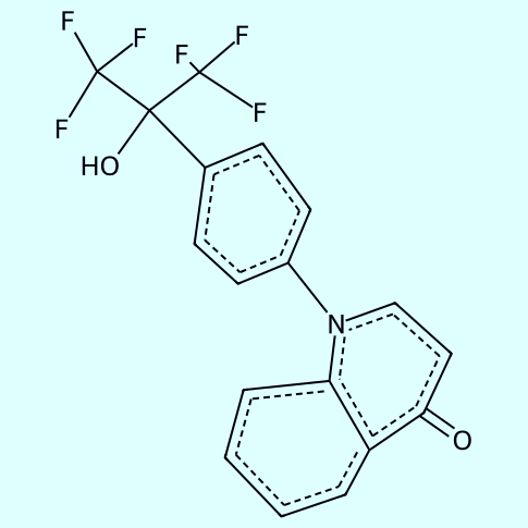 O=c1ccn(-c2ccc(C(O)(C(F)(F)F)C(F)(F)F)cc2)c2ccccc12